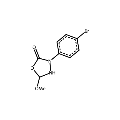 COC1NN(c2ccc(Br)cc2)C(=O)O1